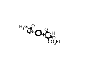 CCOC(=O)c1cn([C@H]2CC[C@H](N3CCN(C)C3=O)CC2)c(=O)[nH]c1=O